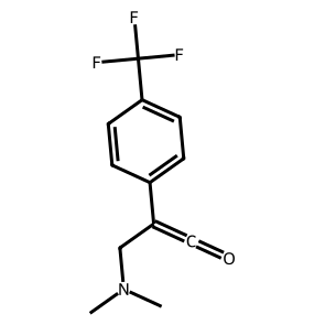 CN(C)CC(=C=O)c1ccc(C(F)(F)F)cc1